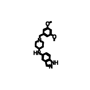 COc1cc(CN2CCC(Nc3ccc4[nH]ncc4c3)CC2)cc(OC)c1